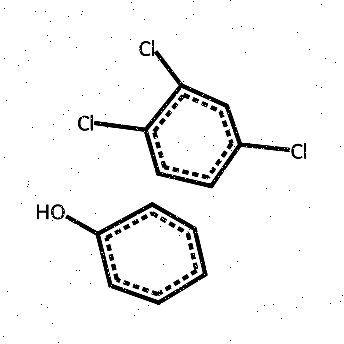 Clc1ccc(Cl)c(Cl)c1.Oc1ccccc1